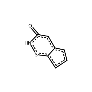 O=c1cc2cccc-2s[nH]1